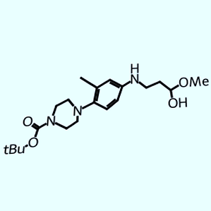 COC(O)CCNc1ccc(N2CCN(C(=O)OC(C)(C)C)CC2)c(C)c1